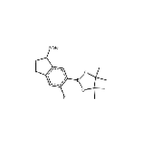 CNC1CCc2cc(F)c(B3OC(C)(C)C(C)(C)O3)cc21